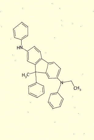 CCN(c1ccccc1)c1ccc2c(c1)C(C)(c1ccccc1)c1cc(Nc3ccccc3)ccc1-2